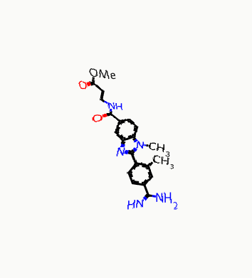 COC(=O)CCNC(=O)c1ccc2c(c1)nc(-c1ccc(C(=N)N)cc1C)n2C